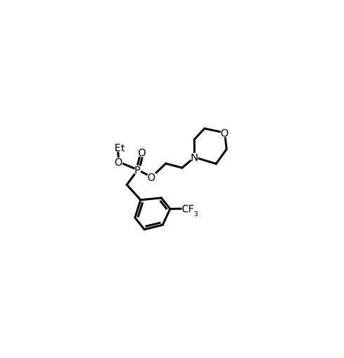 CCOP(=O)(Cc1cccc(C(F)(F)F)c1)OCCN1CCOCC1